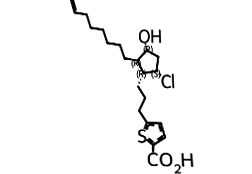 C=CCCCCCC[C@@H]1[C@@H](CCCc2ccc(C(=O)O)s2)[C@@H](Cl)C[C@H]1O